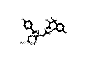 O=c1n(Cc2nc3n(n2)-c2cc(Cl)ccc2C(F)(F)C3O)nc(-c2ccc(Cl)cc2)n1C[C@H](O)C(F)(F)F